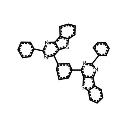 c1ccc(-c2nc(-c3cccc(-c4nc(-c5ccccc5)nc5c4sc4ccccc45)c3)c3sc4ccccc4c3n2)cc1